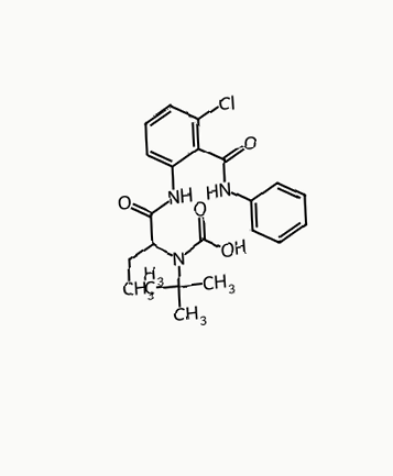 CCC(C(=O)Nc1cccc(Cl)c1C(=O)Nc1ccccc1)N(C(=O)O)C(C)(C)C